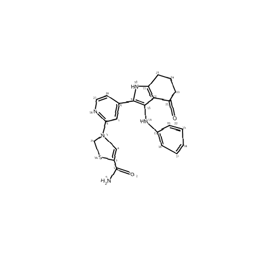 NC(=O)C1=CN(c2cc(-c3[nH]c4c(c3Nc3ccccc3)C(=O)CCC4)ccn2)CS1